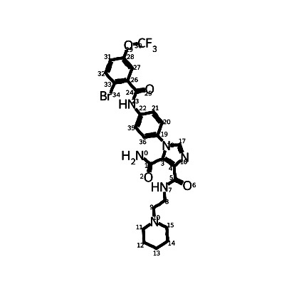 NC(=O)c1c(C(=O)NCCN2CCCCC2)ncn1-c1ccc(NC(=O)c2cc(OC(F)(F)F)ccc2Br)cc1